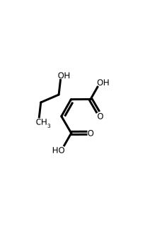 CCCO.O=C(O)/C=C\C(=O)O